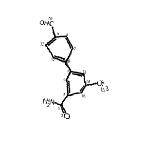 NC(=O)c1cc(-c2ccc(C=O)cc2)cc(C(F)(F)F)c1